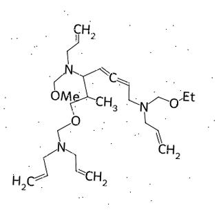 C=CCN(CC=C=CC(C(C)COCN(CC=C)CC=C)N(CC=C)COC)COCC